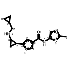 Cc1ncc(NC(=O)c2csc(C3CC3NCC3CC3)c2)s1